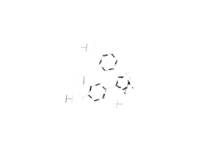 Cc1ccc(-c2snnc2-c2cc(Cl)c(O)cc2O)cc1